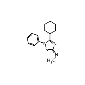 CN=c1nc(C2CCCCC2)n(-c2ccccc2)s1